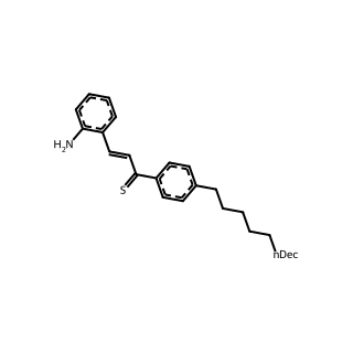 CCCCCCCCCCCCCCCc1ccc(C(=S)C=Cc2ccccc2N)cc1